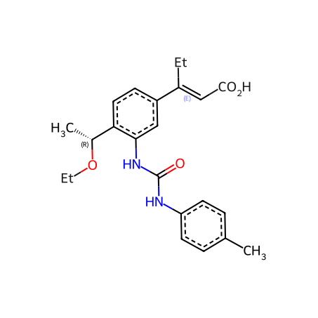 CCO[C@H](C)c1ccc(/C(=C/C(=O)O)CC)cc1NC(=O)Nc1ccc(C)cc1